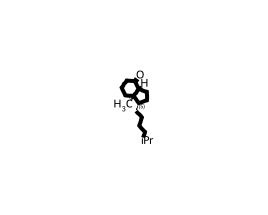 CC(C)CCCC[C@H]1CC[C@H]2C(=O)CCC[C@]12C